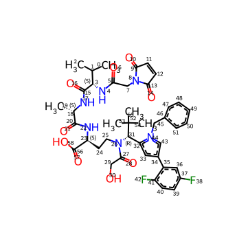 CC(C)[C@H](NC(=O)CN1C(=O)C=CC1=O)C(=O)N[C@@H](C)C(=O)N[C@@H](CCN(C(=O)CO)[C@@H](c1cc(-c2cc(F)ccc2F)cn1Cc1ccccc1)C(C)(C)C)C(=O)O